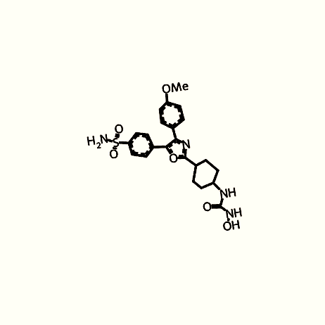 COc1ccc(-c2nc(C3CCC(NC(=O)NO)CC3)oc2-c2ccc(S(N)(=O)=O)cc2)cc1